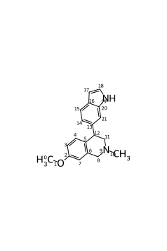 COc1ccc2c(c1)CN(C)CC2c1ccc2cc[nH]c2c1